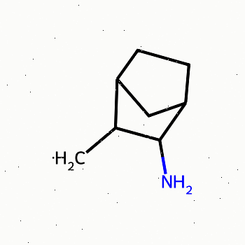 [CH2]C1C2CCC(C2)C1N